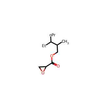 CCCC(CC)C(C)COC(=O)C1CO1